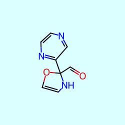 O=CC1(c2cnccn2)NC=CO1